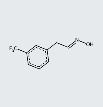 ON=CCc1cccc(C(F)(F)F)c1